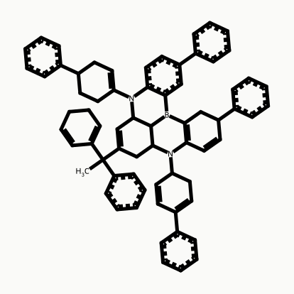 CC(C1=CCCC=C1)(C1=CC2C3B(C4=C(C=CC(c5ccccc5)C4)N(C4C=CC(c5ccccc5)=CC4)C3C1)c1cc(-c3ccccc3)ccc1N2C1=CCC(c2ccccc2)CC1)c1ccccc1